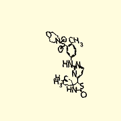 CCC1(CC)NC(=O)SC1c1ccnc(Nc2ccc(C)c(S(=O)(=O)N3CCOCC3)c2)n1